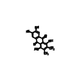 Cc1c(C)c(O)c2c(c1O)C(=O)c1cc(S)c(S)cc1C2=O